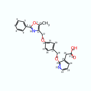 Cc1oc(-c2ccccc2)nc1COc1ccc(COc2ncccc2CC(=O)O)cc1